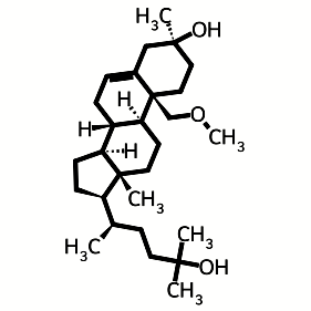 COC[C@]12CC[C@](C)(O)CC1=CC[C@@H]1[C@@H]2CC[C@]2(C)[C@@H]([C@H](C)CCC(C)(C)O)CC[C@@H]12